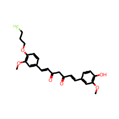 COc1cc(/C=C/C(=O)CC(=O)/C=C/c2ccc(OCCC[18F])c(OC)c2)ccc1O